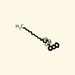 CCCCCCCCCCCCCCCCC(OC(=O)c1cccc2cc3ccccc3cc12)C(=O)O